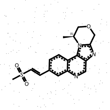 C[C@H]1COCc2nc3cnc4cc(C=CS(C)(=O)=O)ccc4c3n21